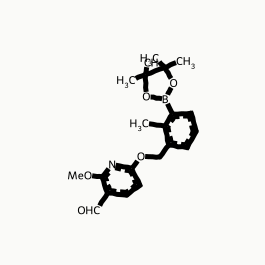 COc1nc(OCc2cccc(B3OC(C)(C)C(C)(C)O3)c2C)ccc1C=O